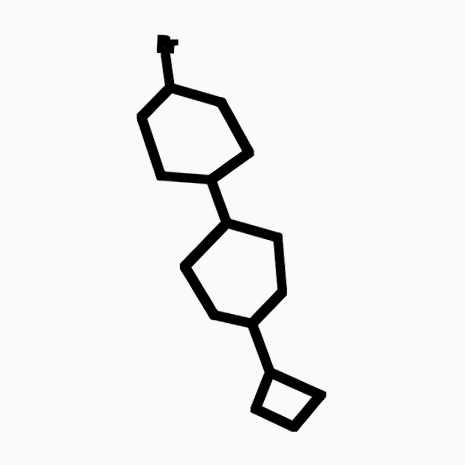 BrC1CCC(C2CCC(C3CCC3)CC2)CC1